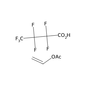 C=COC(C)=O.O=C(O)C(F)(F)C(F)(F)C(F)(F)F